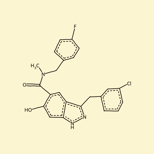 CN(Cc1ccc(F)cc1)C(=O)c1cc2c(Cc3cccc(Cl)c3)n[nH]c2cc1O